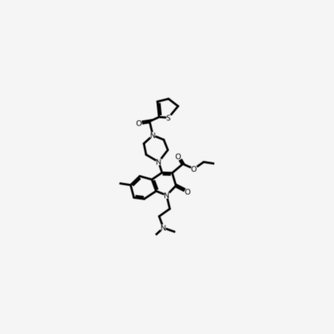 CCOC(=O)c1c(N2CCN(C(=O)C3=CCCS3)CC2)c2cc(C)ccc2n(CCN(C)C)c1=O